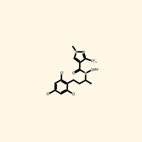 CON(C(=O)c1cn(C)nc1C(F)(F)F)C(C)CCc1c(Cl)cc(Cl)cc1Cl